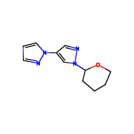 c1cnn(-c2cnn(C3CCCCO3)c2)c1